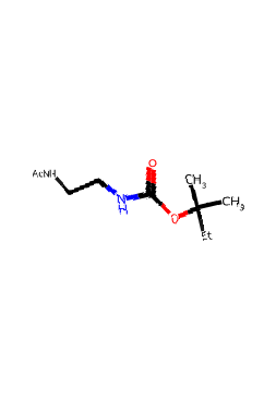 CCC(C)(C)OC(=O)NCCNC(C)=O